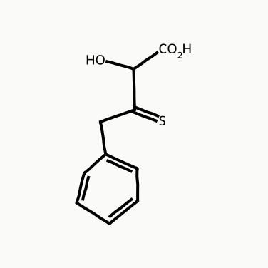 O=C(O)C(O)C(=S)Cc1ccccc1